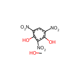 CO.O=[N+]([O-])c1cc([N+](=O)[O-])c(O)c([N+](=O)[O-])c1O